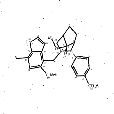 CCO[C@@H]1C2CCC1[C@H](c1ccc(C(=O)O)cc1)N(Cc1c(OC)cc(C)c3[nH]ccc13)C2